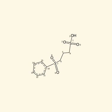 O=S(=O)(O)CCCS(=O)(=O)c1ccccc1